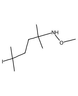 CONC(C)(C)CCC(C)(C)I